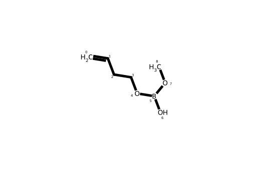 C=CCCOB(O)OC